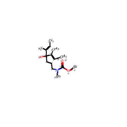 C/C=C(\C)C(O)(CCCN(CCC)C(=O)OC(C)(C)C)/C(C)=C/C